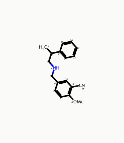 COc1ccc(CNCC(C)c2ccccc2)cc1C#N